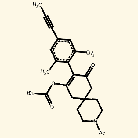 CC#Cc1cc(C)c(C2=C(OC(=O)C(C)(C)C)CC3(CCN(C(C)=O)CC3)CC2=O)c(C)c1